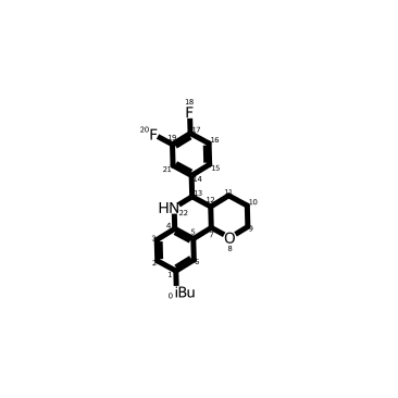 CCC(C)c1ccc2c(c1)C1OCCCC1C(c1ccc(F)c(F)c1)N2